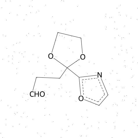 O=CCCC1(c2ncco2)OCCO1